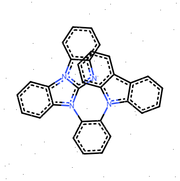 c1ccc(-n2c3ccccc3n3c4ccccc4nc23)c(-n2c3ccccc3c3ccccc32)c1